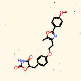 COc1ccc(-c2nc(CCOc3ccc(CC4OC(=O)NC4=O)cc3)c(C)o2)cc1